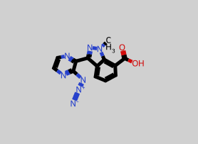 Cn1nc(-c2nccnc2N=[N+]=[N-])c2cccc(C(=O)O)c21